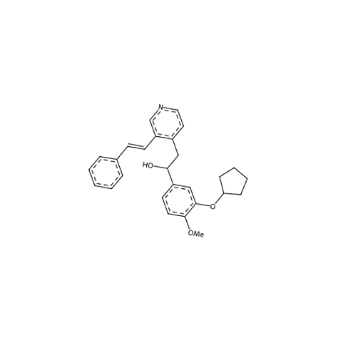 COc1ccc(C(O)Cc2ccncc2C=Cc2ccccc2)cc1OC1CCCC1